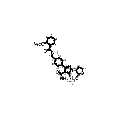 COc1ccccc1C(=O)NCc1ccc(-c2nn([C@@H]3CCO[C@H]3C)c(N)c2C(N)=O)cc1